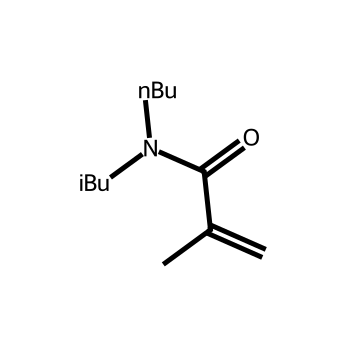 C=C(C)C(=O)N(CCCC)C(C)CC